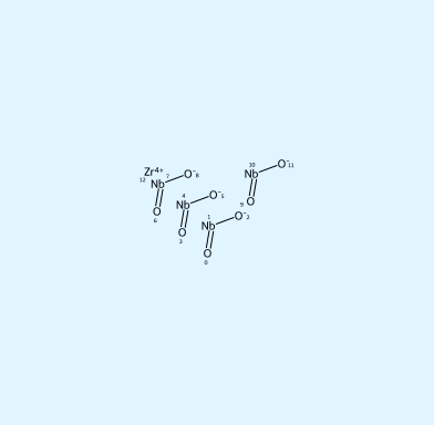 [O]=[Nb][O-].[O]=[Nb][O-].[O]=[Nb][O-].[O]=[Nb][O-].[Zr+4]